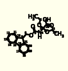 CCOC(NC(=O)OCC1c2ccccc2-c2ccccc21)(OCC)C(=O)O